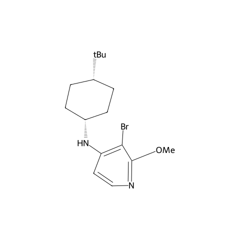 COc1nccc(N[C@H]2CC[C@@H](C(C)(C)C)CC2)c1Br